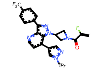 C=C(F)C(=O)N1CC(n2nc(-c3ccc(C(F)(F)F)cc3)c3nccc(-c4cnn(C(C)C)c4)c32)C1